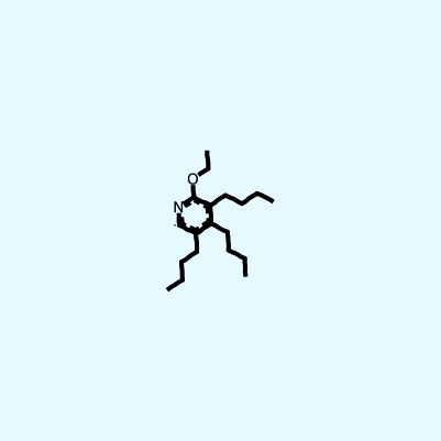 CCCCc1[c]nc(OCC)c(CCCC)c1CCCC